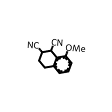 COc1cccc2c1C(C#N)C(C#N)CC2